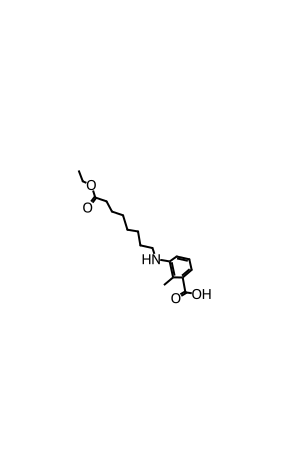 CCOC(=O)CCCCCCCNc1cccc(C(=O)O)c1C